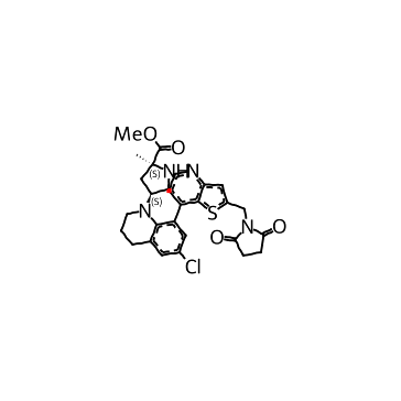 COC(=O)[C@]1(C)C[C@H](N2CCCc3cc(Cl)cc(-c4ccnc5cc(CN6C(=O)CCC6=O)sc45)c32)CN1